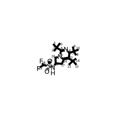 CC(C)(C)C1=NC(C(C)(C)C)C(C(C)(C)C)=C2CC(NS(=O)(=O)C(F)F)CN12